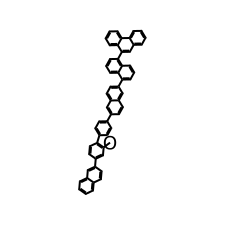 c1ccc2cc(-c3ccc4c(c3)oc3cc(-c5ccc6cc(-c7cccc8c(-c9cc%10ccccc%10c%10ccccc9%10)cccc78)ccc6c5)ccc34)ccc2c1